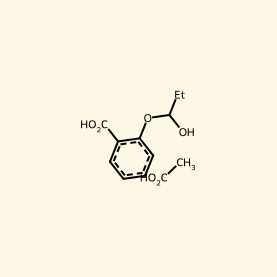 CC(=O)O.CCC(O)Oc1ccccc1C(=O)O